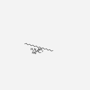 CCCCCCCCCCCCCCCCCC.CCN(N)C(=N)N